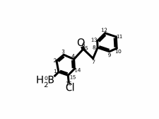 Bc1ccc(C(=O)Cc2ccccc2)cc1Cl